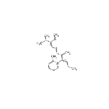 C=N/C(=C\SCC(=C)/C(=C/CC)C1=CCCC=C1C)C(C)C